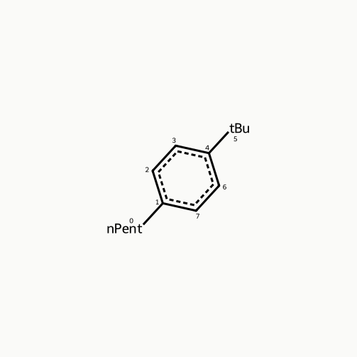 CCCCCc1ccc(C(C)(C)C)cc1